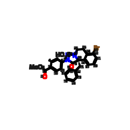 COC(=O)c1ccc(NC(=O)[C@]2(Cc3ccccc3)c3cccc(Br)c3CCN2C(=O)O)cc1